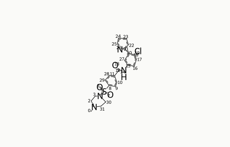 CN1CCN(S(=O)(=O)c2ccc(C(=O)Nc3ccc(Cl)c(-c4ccccn4)c3)cc2)CC1